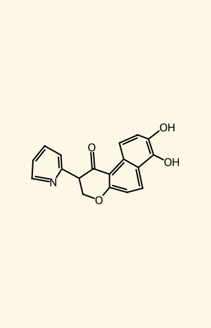 O=C1c2c(ccc3c(O)c(O)ccc23)OCC1c1ccccn1